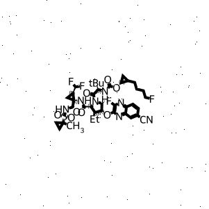 CC[C@@H]1[C@@H](Oc2nc3cc(C#N)ccc3nc2F)CN(C(=O)[C@@H](NC(=O)O[C@@H]2CC2CCCCF)C(C)(C)C)[C@@H]1C(=O)N[C@]1(C(=O)NS(=O)(=O)C2(C)CC2)C[C@H]1C(F)F